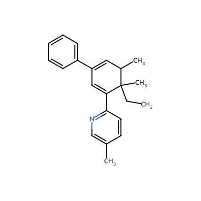 CCC1(C)C(c2ccc(C)cn2)=CC(c2ccccc2)=CC1C